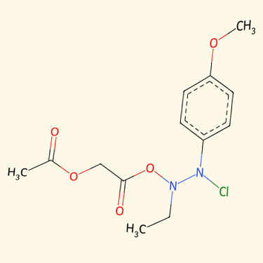 CCN(OC(=O)COC(C)=O)N(Cl)c1ccc(OC)cc1